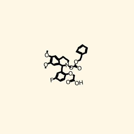 COc1cc2c(cc1OC)C(c1cc(F)ccc1OCC(=O)O)N(OC(=O)OCc1ccccc1)CC2